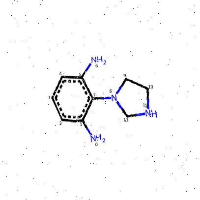 Nc1cccc(N)c1N1CCNC1